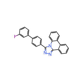 Ic1cccc(-c2ccc(-c3nnc4c5ccccc5c5ccccc5n34)cc2)c1